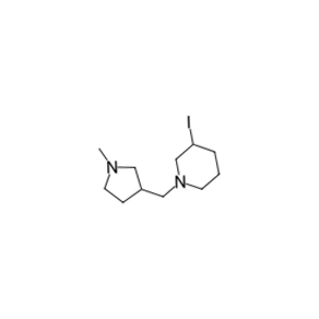 CN1CCC(CN2CCCC(I)C2)C1